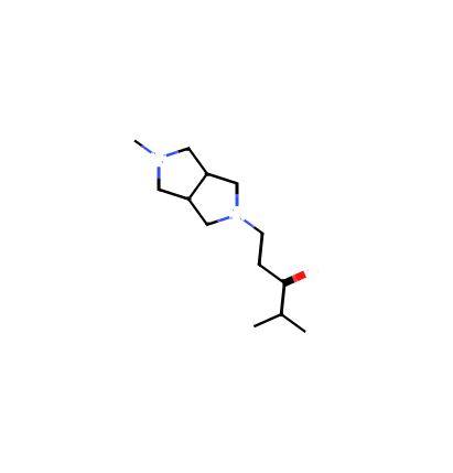 CC(C)C(=O)CCN1CC2CN(C)CC2C1